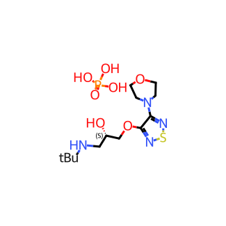 CC(C)(C)NC[C@H](O)COc1nsnc1N1CCOCC1.O=P(O)(O)O